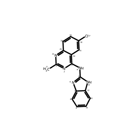 Cc1nc(Nc2nc3ccccc3[nH]2)c2cc(Cl)ccc2n1